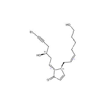 CCC#CC[C@H](O)C/C=C1/C(=O)C=C[C@@H]1C/C=C\CCCCO